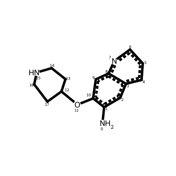 Nc1cc2cccnc2cc1OC1CCNCC1